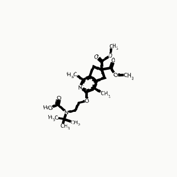 COC(=O)C1(C(=O)OC)Cc2c(C)nc(OCCN(C(=O)O)C(C)(C)C)c(C)c2C1